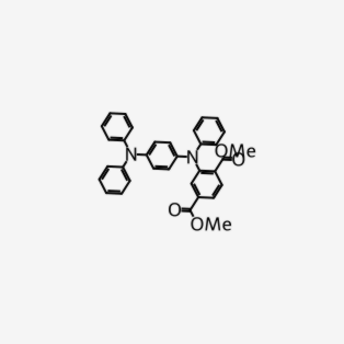 COC(=O)c1ccc(C(=O)OC)c(N(c2ccccc2)c2ccc(N(c3ccccc3)c3ccccc3)cc2)c1